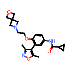 Cc1noc(C)c1-c1cc(NC(=O)C2CC2)ccc1OCCN1CC2(COC2)C1